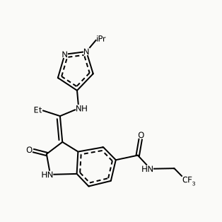 CCC(Nc1cnn(C(C)C)c1)=C1C(=O)Nc2ccc(C(=O)NCC(F)(F)F)cc21